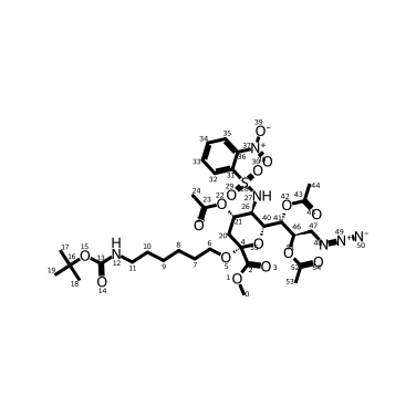 COC(=O)[C@@]1(OCCCCCCNC(=O)OC(C)(C)C)C[C@H](OC(C)=O)[C@@H](NS(=O)(=O)c2ccccc2[N+](=O)[O-])[C@H]([C@H](OC(C)=O)[C@@H](CN=[N+]=[N-])OC(C)=O)O1